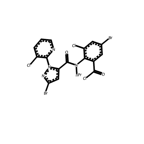 CCCN(C(=O)c1cc(Br)nn1-c1ncccc1Cl)c1c(Cl)cc(Br)cc1C(=O)Cl